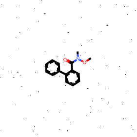 CON(C)C(=O)c1ccccc1-c1ccccc1